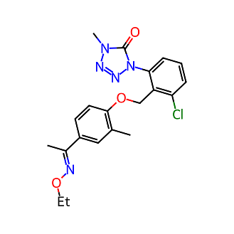 CCON=C(C)c1ccc(OCc2c(Cl)cccc2-n2nnn(C)c2=O)c(C)c1